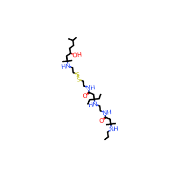 CCCNC(C)(C)CC(=O)NCCNC(CC)(CC)CC(=O)NCCSSCCNC(C)(C)CC(O)CCC(C)C